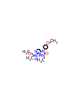 CCNC(=O)N(c1ccc(OCC)cc1)c1ccnc(N[C@@H](C)COC)n1